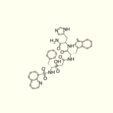 NC(=O)C(Cc1cnc[nH]1)NC(=O)[C@H](Cc1csc2ccccc12)NC(=O)CP(=O)(O)[C@@H](Cc1ccccc1)NS(=O)(=O)c1cccc2cccnc12